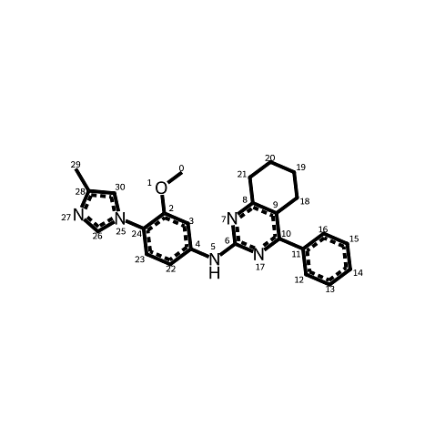 COc1cc(Nc2nc3c(c(-c4ccccc4)n2)CCCC3)ccc1-n1cnc(C)c1